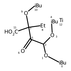 CCC(C)OC(OC(C)CC)C(=O)C(CC)(OC(C)CC)C(=O)O.[Ti]